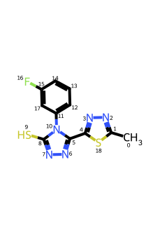 Cc1nnc(-c2nnc(S)n2-c2cccc(F)c2)s1